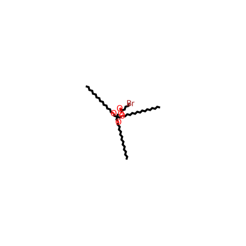 CCCCCCCCCCCCCCCOCC(COCCCCCCCCCCCCCCC)(COCCCCCCCCCCCCCCC)COC(=O)CCCBr